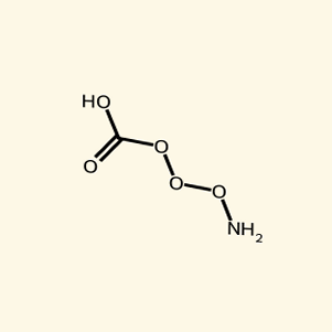 NOOOC(=O)O